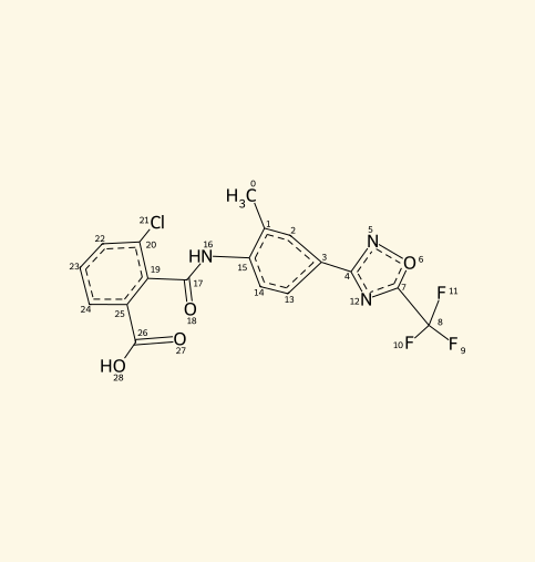 Cc1cc(-c2noc(C(F)(F)F)n2)ccc1NC(=O)c1c(Cl)cccc1C(=O)O